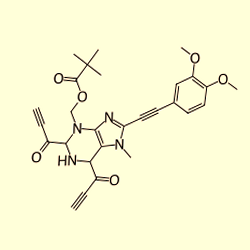 C#CC(=O)C1NC(C(=O)C#C)N(COC(=O)C(C)(C)C)c2nc(C#Cc3ccc(OC)c(OC)c3)n(C)c21